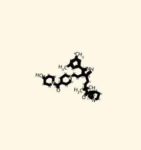 Cc1cc(C)cc(-c2[nH]cc(CCC(C)(C)C(=O)C3C4CCN3CC4)c2CCN2CCC(C(=O)N3CCC(O)CC3)CC2)c1